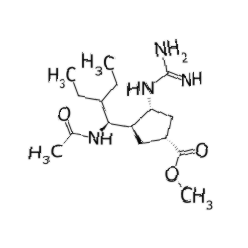 CCC(CC)[C@H](NC(C)=O)[C@@H]1C[C@@H](C(=O)OC)C[C@H]1NC(=N)N